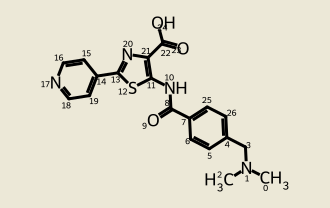 CN(C)Cc1ccc(C(=O)Nc2sc(-c3ccncc3)nc2C(=O)O)cc1